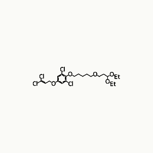 CCOC(CCOCCCCCOc1c(Cl)cc(OCC=C(Cl)Cl)cc1Cl)OCC